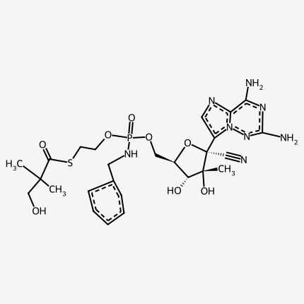 CC(C)(CO)C(=O)SCCOP(=O)(NCc1ccccc1)OC[C@H]1O[C@@](C#N)(c2cnc3c(N)nc(N)nn23)[C@](C)(O)[C@@H]1O